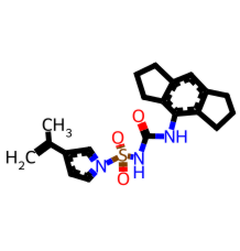 C=C(C)c1ccn(S(=O)(=O)NC(=O)Nc2c3c(cc4c2CCC4)CCC3)c1